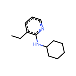 CCc1cccnc1NC1CCCCC1